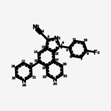 N#Cc1nn(-c2ccc(F)cc2)c2c1cc(-c1cccnc1)c1cnccc12